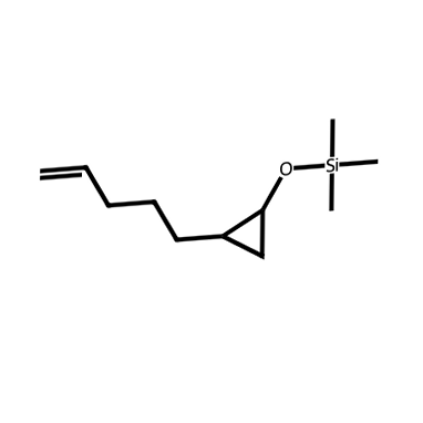 C=CCCCC1CC1O[Si](C)(C)C